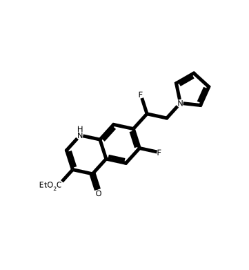 CCOC(=O)c1c[nH]c2cc(C(F)Cn3cccc3)c(F)cc2c1=O